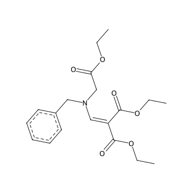 CCOC(=O)CN(C=C(C(=O)OCC)C(=O)OCC)Cc1ccccc1